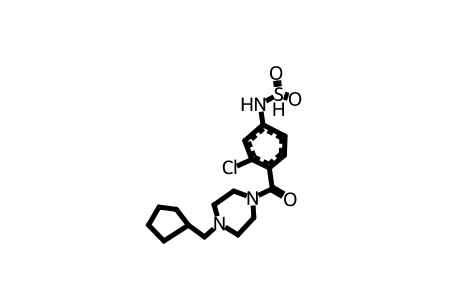 O=C(c1ccc(N[SH](=O)=O)cc1Cl)N1CCN(CC2CCCC2)CC1